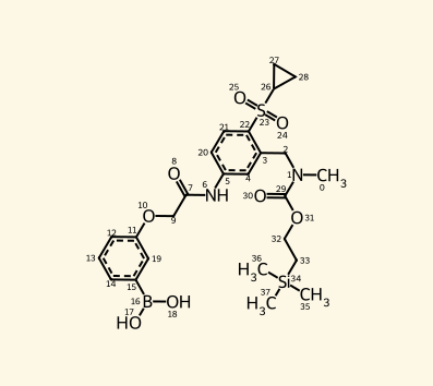 CN(Cc1cc(NC(=O)COc2cccc(B(O)O)c2)ccc1S(=O)(=O)C1CC1)C(=O)OCC[Si](C)(C)C